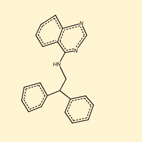 c1ccc(C(CNc2ncnc3ccccc23)c2ccccc2)cc1